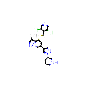 C[C@@H](Sc1cc(-c2cnn([C@H]3CCCNC3)c2)cn2ncc(C#N)c12)c1c(Cl)cncc1Cl